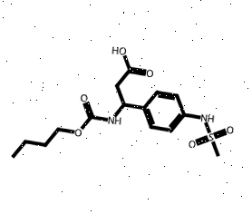 CCCCOC(=O)NC(CC(=O)O)c1ccc(NS(C)(=O)=O)cc1